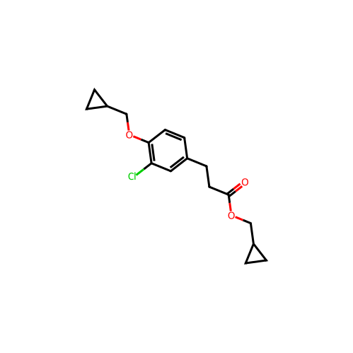 O=C(CCc1ccc(OCC2CC2)c(Cl)c1)OCC1CC1